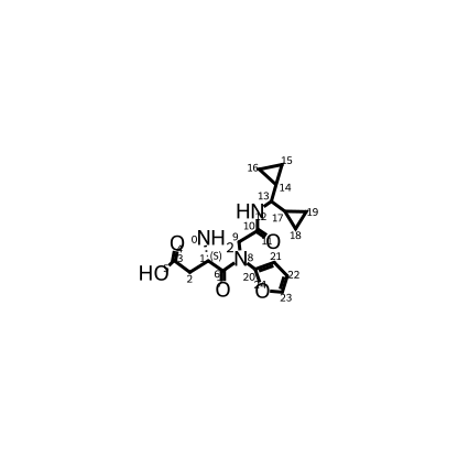 N[C@@H](CC(=O)O)C(=O)N(CC(=O)NC(C1CC1)C1CC1)c1ccco1